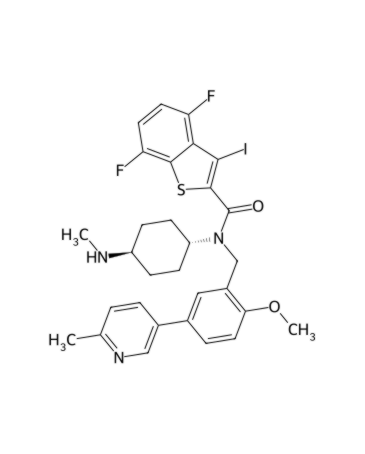 CN[C@H]1CC[C@H](N(Cc2cc(-c3ccc(C)nc3)ccc2OC)C(=O)c2sc3c(F)ccc(F)c3c2I)CC1